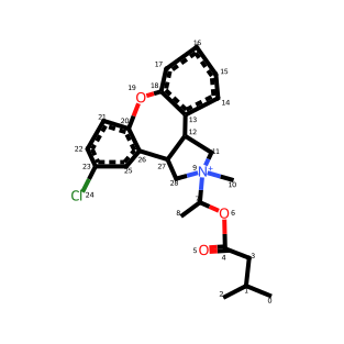 CC(C)CC(=O)OC(C)[N+]1(C)CC2c3ccccc3Oc3ccc(Cl)cc3C2C1